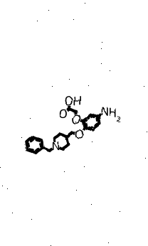 Nc1ccc(OCC2CCN(Cc3ccccc3)CC2)c(OCC(=O)O)c1